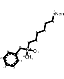 CCCCCCCCCCCCCCC[N+](C)([O-])Cc1ccccc1